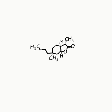 CCCC[C@@]1(C)CC[C@H]2[C@H](C)C(=O)O[C@@H]2C1